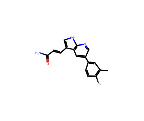 CC(=O)c1ccc(-c2cnc3[nH]cc(C=CC(N)=O)c3c2)cc1C